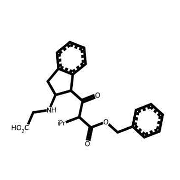 CC(C)C(C(=O)OCc1ccccc1)C(=O)C1c2ccccc2CC1NCC(=O)O